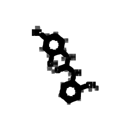 Cc1ccccc1NC(=O)Nc1ccc(C#N)cc1O